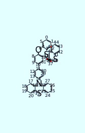 c1ccc2c(c1)Oc1ccc(-c3ccc(N4c5ccccc5Sc5ccccc54)cc3)cc1[Si]21c2ccccc2Sc2ccccc21